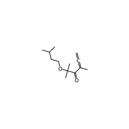 C=C=C(C)C(=O)C(C)(C)OCCC(C)C